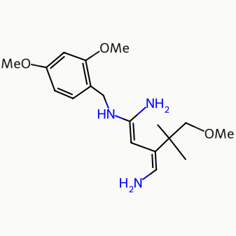 COCC(C)(C)C(/C=C(\N)NCc1ccc(OC)cc1OC)=C/N